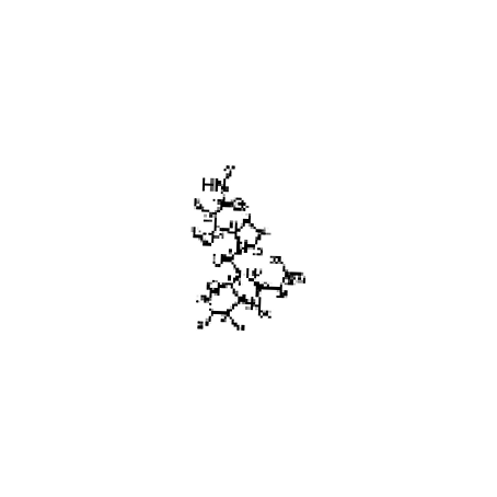 CCC(C)C(C(CC(=O)N1CCCC1C(OC)C(C)C(=O)NC)OC)N(C)C(=O)CC(C)C